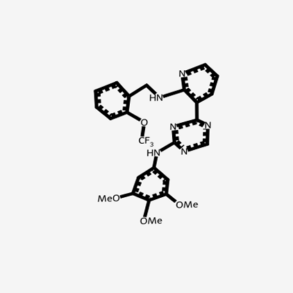 COc1cc(Nc2ncnc(-c3cccnc3NCc3ccccc3OC(F)(F)F)n2)cc(OC)c1OC